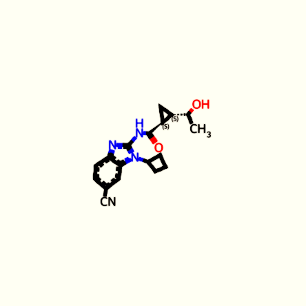 CC(O)[C@H]1C[C@@H]1C(=O)Nc1nc2ccc(C#N)cc2n1C1CCC1